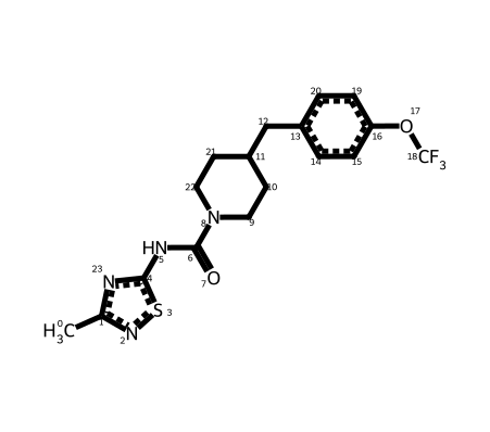 Cc1nsc(NC(=O)N2CCC(Cc3ccc(OC(F)(F)F)cc3)CC2)n1